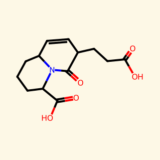 O=C(O)CCC1C=CC2CCCC(C(=O)O)N2C1=O